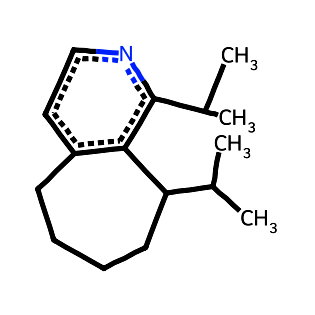 CC(C)c1nccc2c1C(C(C)C)CCCC2